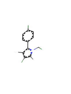 N#Cc1c(Br)c(C(F)(F)F)n(CCl)c1-c1ccc(Cl)cc1